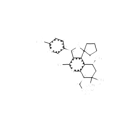 CC(C)c1nc2c(c3c1[C@@H](c1ccc(C(F)(F)F)nc1)OC31CCCC1)[C@@H](O)CC(C)(C)[C@H]2CC(=O)O